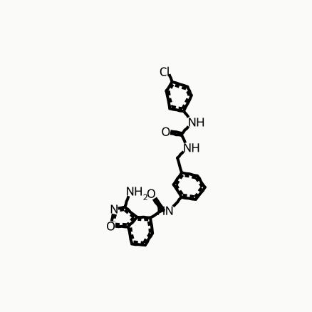 Nc1noc2cccc(C(=O)Nc3cccc(CNC(=O)Nc4ccc(Cl)cc4)c3)c12